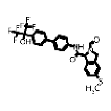 CSc1ccc2c(c1)CN(C=O)C2C(=O)Nc1ccc(-c2ccc(C(O)(C(F)(F)F)C(F)(F)F)cc2)cc1